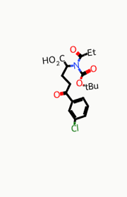 CCC(=O)N(C(=O)OC(C)(C)C)C(CCC(=O)c1cccc(Cl)c1)C(=O)O